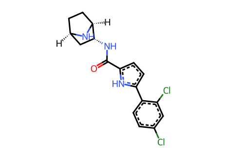 O=C(N[C@@H]1C[C@H]2CC[C@@H]1N2)c1ccc(-c2ccc(Cl)cc2Cl)[nH]1